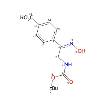 CC(C)(C)OC(=O)NCC(=NO)c1ccc(C(=O)O)cc1